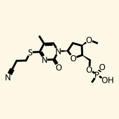 CO[C@@H]1C[C@H](n2cc(C)c(SCCC#N)nc2=O)O[C@@H]1COP(C)(=O)O